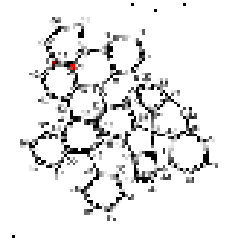 c1ccc(-c2ccccc2N(c2ccc3c(c2)C2(c4ccccc4Oc4ccccc42)c2ccccc2-3)c2ccccc2-c2ccc(-c3ccccc3)c3ccccc23)cc1